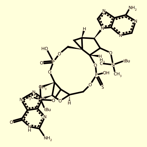 CC(C)(C)[Si](C)(C)OC1[C@H]2OP(=O)(O)OC[C@@]34C[C@@H]3[C@@H](n3cnc5c(N)ncnc53)C(O[Si](C)(C)C(C)(C)C)[C@@H]4OP(O)(=S)OC[C@H]1O[C@H]2n1nnc2c(=O)[nH]c(N)nc21